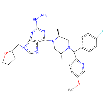 C[C@@H]1CN(c2nc(NN)nc3c2ncn3CC2CCCO2)[C@@H](C)CN1C(c1ccc(F)cc1)c1ccc(OC(F)(F)F)cn1